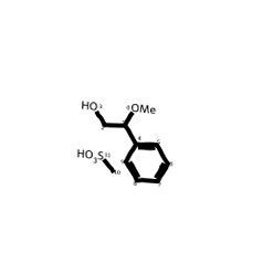 COC(CO)c1ccccc1.CS(=O)(=O)O